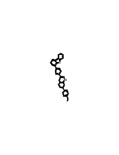 CCc1ccc(-c2ccc3cc(-c4ccc(-c5cccc6c5sc5ccccc56)cc4)cnc3c2)cc1